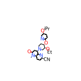 CCOC1CN(c2cc(=O)n(C)c3ccc(C#N)nc23)CCC1Oc1ccc(OC(C)C)cn1